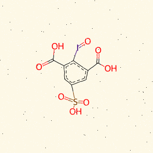 O=Ic1c(C(=O)O)cc(S(=O)(=O)O)cc1C(=O)O